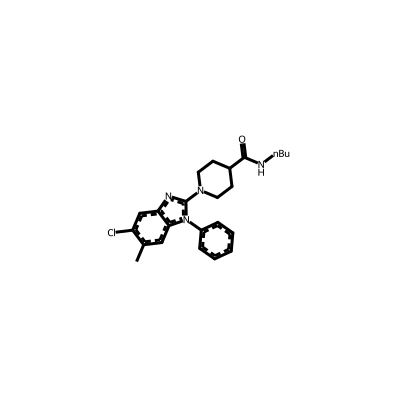 CCCCNC(=O)C1CCN(c2nc3cc(Cl)c(C)cc3n2-c2ccccc2)CC1